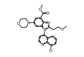 COCCc1nc2c(C(=O)OC)cc(N3CCOCC3)cc2n1-c1ccnc2c(Cl)cccc12